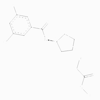 CC(C)(C)NC(=O)CN[C@H]1CC[C@H](NC(=O)c2cc(F)cc(Cl)c2)C1